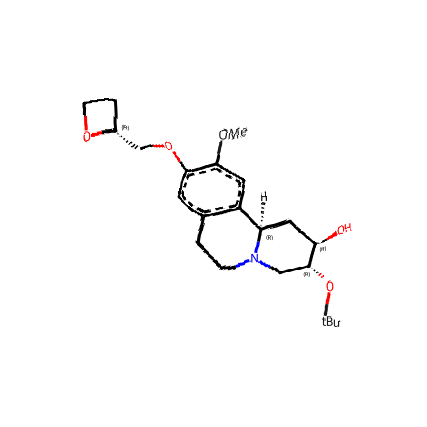 COc1cc2c(cc1OC[C@H]1CCO1)CCN1C[C@@H](OC(C)(C)C)[C@H](O)C[C@H]21